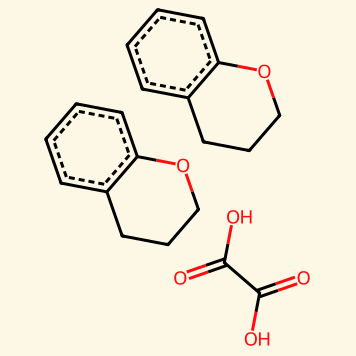 O=C(O)C(=O)O.c1ccc2c(c1)CCCO2.c1ccc2c(c1)CCCO2